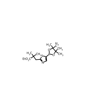 CCOC(=O)C(C)(C)Cc1ncc(B2OC(C)(C)C(C)(C)O2)s1